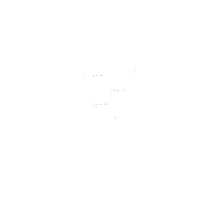 CCCC(NC)C(C(C)C)N(C)C